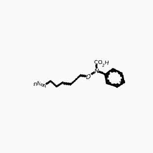 CCCCCCCCCCCCCCON(C(=O)O)c1ccccc1